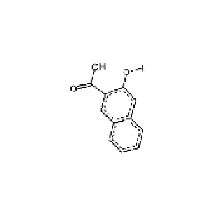 O=C(O)c1cc2ccccc2cc1OI